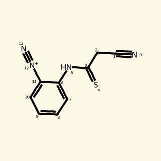 N#CCC(=S)Nc1ccccc1[N+]#N